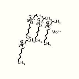 CCCCCCOP([O-])(=S)SCC.CCCCCCOP([O-])(=S)SCC.CCCCCCOP([O-])(=S)SCC.CCCCCCOP([O-])(=S)SCC.[Mo+4]